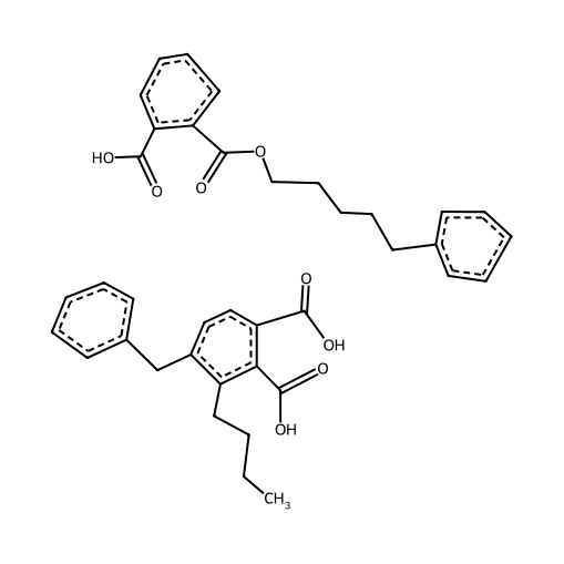 CCCCc1c(Cc2ccccc2)ccc(C(=O)O)c1C(=O)O.O=C(O)c1ccccc1C(=O)OCCCCCc1ccccc1